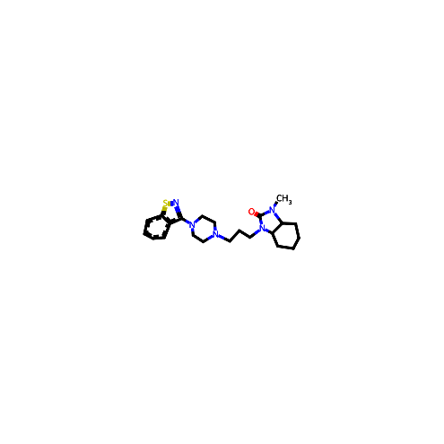 CN1C(=O)N(CCCN2CCN(c3nsc4ccccc34)CC2)C2CCCCC21